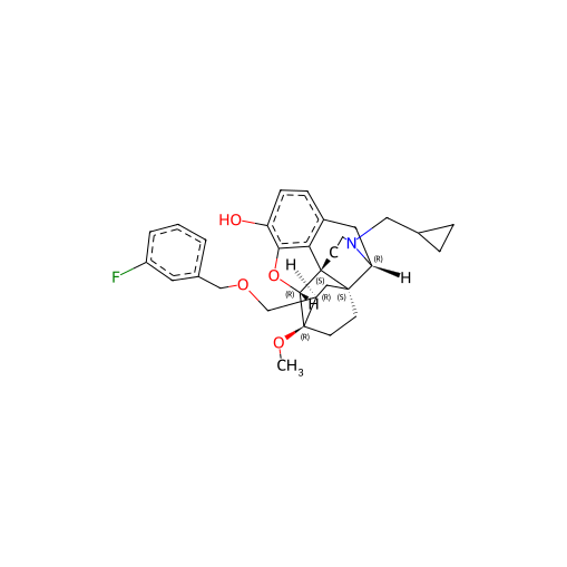 CO[C@]12CC[C@@]3(C[C@@H]1COCc1cccc(F)c1)[C@H]1Cc4ccc(O)c5c4[C@@]3(CCN1CC1CC1)[C@H]2O5